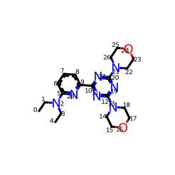 CCN(CC)c1cccc(-c2nc(N3CCOCC3)nc(N3CCOCC3)n2)n1